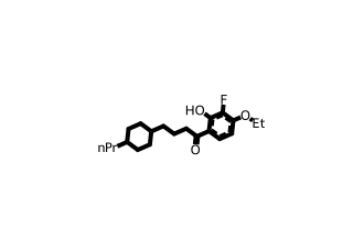 CCCC1CCC(CCCC(=O)c2ccc(OCC)c(F)c2O)CC1